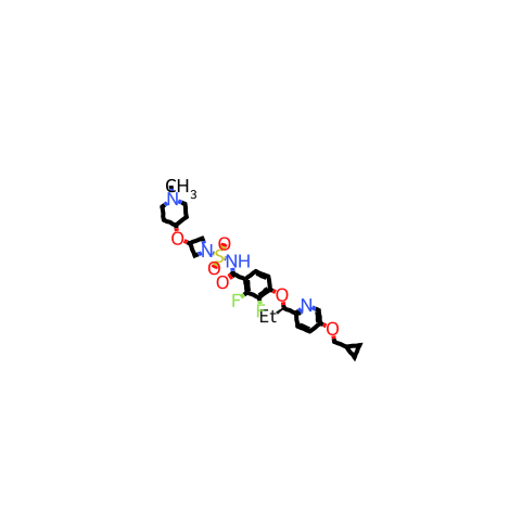 CC[C@@H](Oc1ccc(C(=O)NS(=O)(=O)N2CC(OC3CCN(C)CC3)C2)c(F)c1F)c1ccc(OCC2CC2)cn1